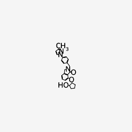 Cc1ccn(-c2ccc(CN3Cc4cccc(O[C@@H]5CCC[C@H]5O)c4C3=O)cc2)n1